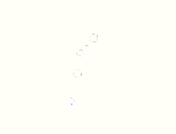 FC(F)(F)Sc1ccc(C=Cc2nc(COc3ccc(COCCc4c[nH]nn4)cc3)co2)cc1